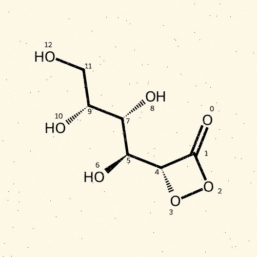 O=C1OO[C@@H]1[C@@H](O)[C@@H](O)[C@H](O)CO